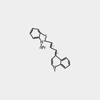 CCC[n+]1c(/C=C/C=C2\C=CN(C)c3ccccc32)sc2ccccc21